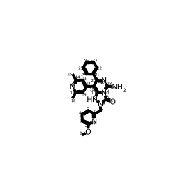 COc1cccc(Cn2[nH]c3c(-c4cc(C)nc(C)c4)c(-c4ccccc4)nc(N)[n+]3c2=O)n1